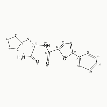 NC(=O)[C@H](CC1CCCC1)NC(=O)c1ccc(-c2ccccc2)o1